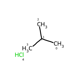 C[C](C)C.Cl